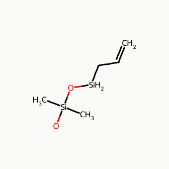 C=CC[SiH2]O[Si](C)(C)[O]